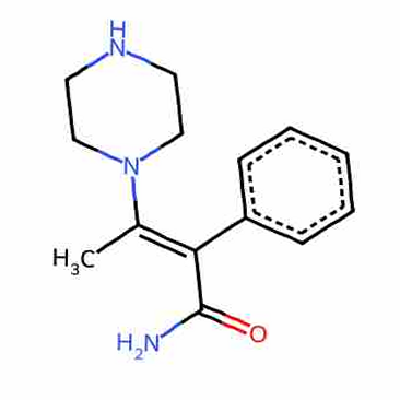 CC(=C(C(N)=O)c1ccccc1)N1CCNCC1